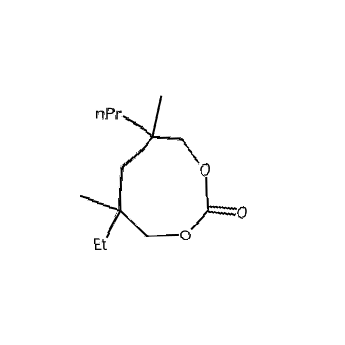 CCCC1(C)COC(=O)OCC(C)(CC)C1